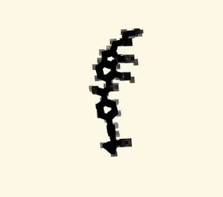 Cc1c(NC(=O)c2ccc(C#CC3(O)CC3)cc2)ccc2cc(CNCC(C)C)n(C)c12